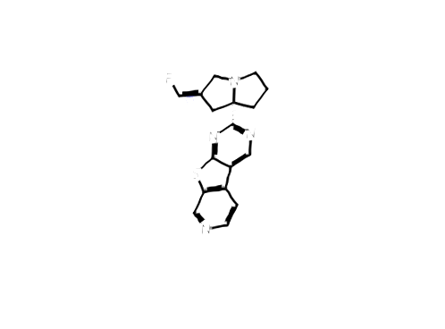 F/C=C1\CN2CCC[C@@]2(c2ncc3c(n2)sc2cnccc23)C1